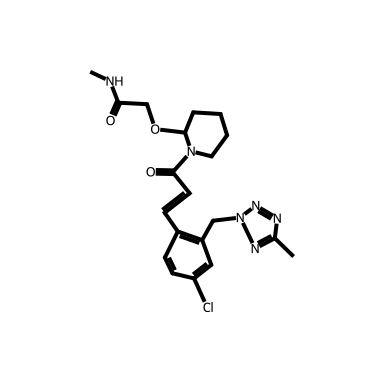 CNC(=O)COC1CCCCN1C(=O)/C=C/c1ccc(Cl)cc1Cn1nnc(C)n1